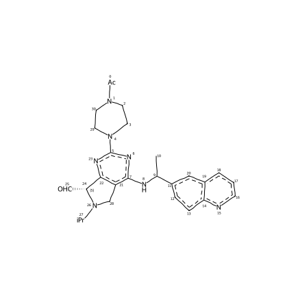 CC(=O)N1CCN(c2nc(NC(C)c3ccc4ncccc4c3)c3c(n2)[C@@H](C=O)N(C(C)C)C3)CC1